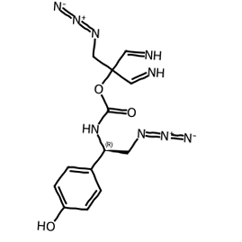 [N-]=[N+]=NC[C@H](NC(=O)OC(C=N)(C=N)CN=[N+]=[N-])c1ccc(O)cc1